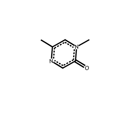 Cc1cn(C)c(=O)cn1